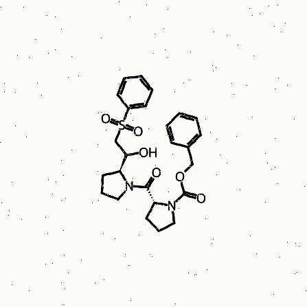 O=C(OCc1ccccc1)N1CCC[C@@H]1C(=O)N1CCC[C@H]1C(O)CS(=O)(=O)c1ccccc1